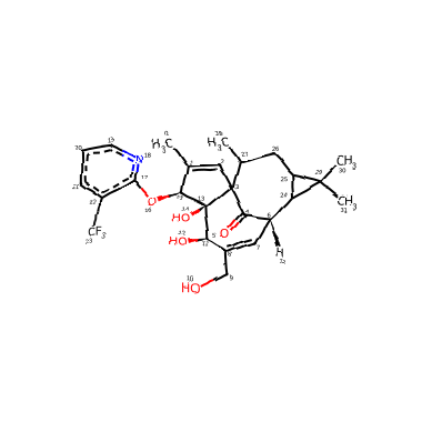 CC1=CC23C(=O)[C@@H](C=C(CO)[C@@H](O)[C@]2(O)[C@H]1Oc1ncccc1C(F)(F)F)C1C(CC3C)C1(C)C